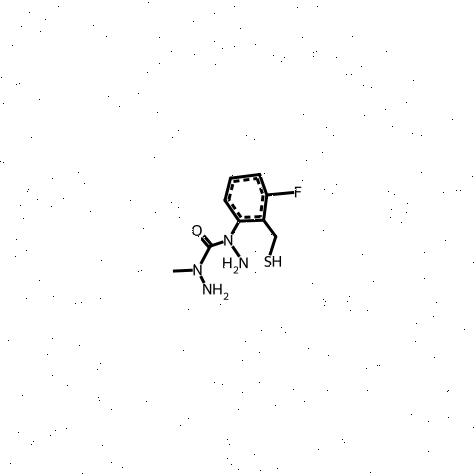 CN(N)C(=O)N(N)c1cccc(F)c1CS